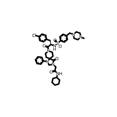 CN1CCN(Cc2ccc(S(=O)(=O)N[C@H](Cc3ccc(Cl)cc3)C(=O)N3CCC4(CC3)C(=O)N(CC(=O)NC3CCCCC3)CN4c3ccccc3)cc2)CC1